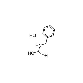 Cl.OC(O)NCc1ccccc1